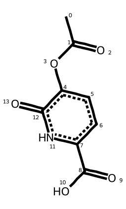 CC(=O)Oc1ccc(C(=O)O)[nH]c1=O